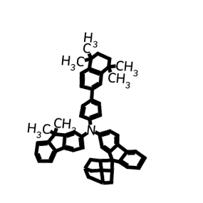 CC1(C)CCC(C)(C)c2cc(-c3ccc(N(c4ccc5c(c4)C(C)(C)c4ccccc4-5)c4ccc5c(c4)C4(c6ccccc6-5)C5CC6CC7CC4C75C6)cc3)ccc21